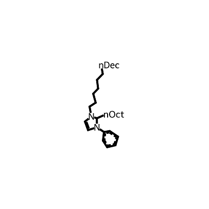 CCCCCCCCCCCCCCCCN1C=CN(c2ccccc2)C1CCCCCCCC